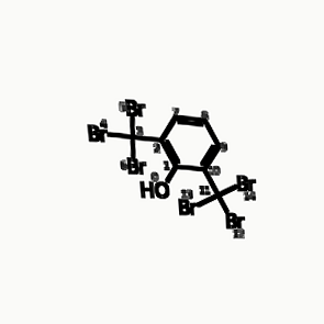 Oc1c(C(Br)(Br)Br)cccc1C(Br)(Br)Br